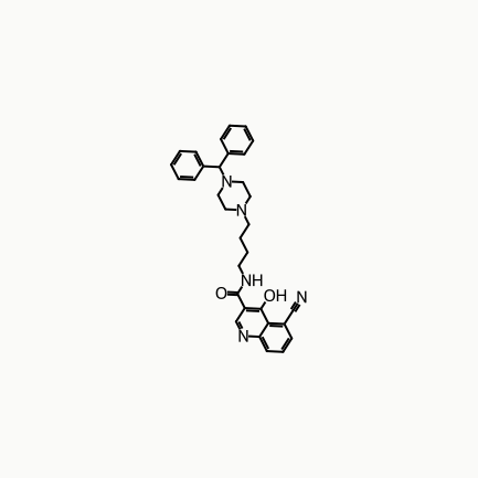 N#Cc1cccc2ncc(C(=O)NCCCCN3CCN(C(c4ccccc4)c4ccccc4)CC3)c(O)c12